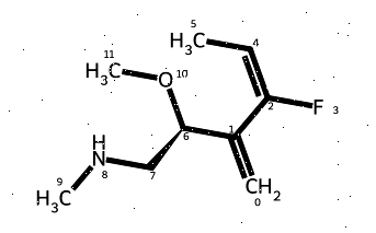 C=C(/C(F)=C\C)[C@@H](CNC)OC